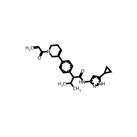 C=CC(=O)N1CCC=C(c2ccc(C(C(=O)Nc3cc(C4CC4)[nH]n3)C(C)C)cc2)C1